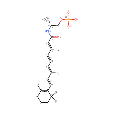 CC1=C(/C=C/C(C)=C/C=C/C(C)=C/C(=O)N[C@@H](COP(=O)(O)O)C(=O)O)C(C)(C)CCC1